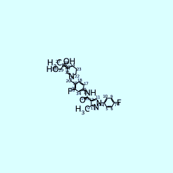 Cc1nn(-c2ccc(F)cc2)cc1C(=O)Nc1ccc(CN2CCC[C@H]([C@](C)(O)CO)C2)c(F)c1